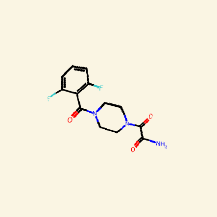 NC(=O)C(=O)N1CCN(C(=O)c2c(F)cccc2F)CC1